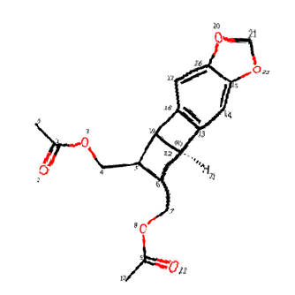 CC(=O)OCC1C(COC(C)=O)[C@@H]2c3cc4c(cc3C12)OCO4